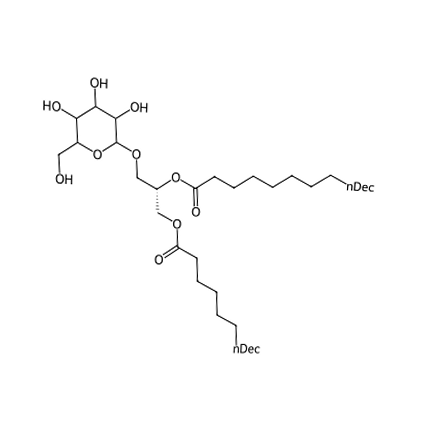 CCCCCCCCCCCCCCCCCC(=O)O[C@H](COC(=O)CCCCCCCCCCCCCCC)COC1OC(CO)C(O)C(O)C1O